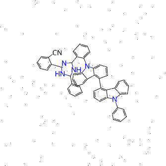 N#Cc1ccccc1C1=NC(c2ccccc2-n2c3ccccc3c3c(-c4cccc5c4c4ccccc4n5-c4ccccc4)cccc32)NC(c2ccccc2)N1